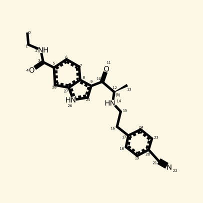 CCNC(=O)c1ccc2c(C(=O)[C@@H](C)NCCc3ccc(C#N)cc3)c[nH]c2c1